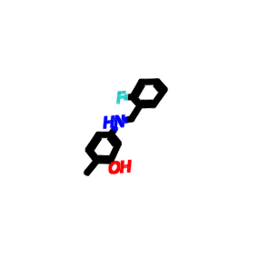 Cc1ccc(NCc2ccccc2F)cc1O